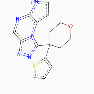 c1csc(C2(c3nnc4cnc5[nH]ccc5n34)CCOCC2)c1